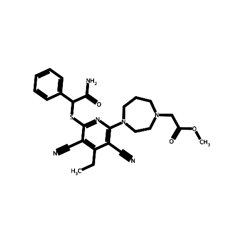 CCc1c(C#N)c(SC(C(N)=O)c2ccccc2)nc(N2CCCN(CC(=O)OC)CC2)c1C#N